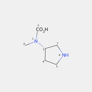 CN(C(=O)O)[C@H]1CCNC1